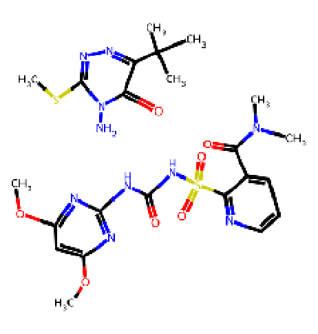 COc1cc(OC)nc(NC(=O)NS(=O)(=O)c2ncccc2C(=O)N(C)C)n1.CSc1nnc(C(C)(C)C)c(=O)n1N